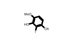 COc1ccc(C#N)c(I)c1O